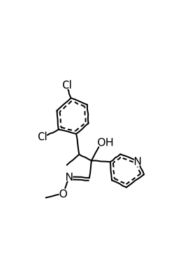 CON=CC(O)(c1cccnc1)C(C)c1ccc(Cl)cc1Cl